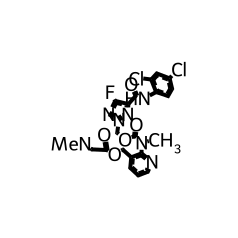 CNCC(=O)OCc1cccnc1N(C)C(=O)OCn1nc(F)c(C(=O)Nc2ccc(Cl)cc2Cl)n1